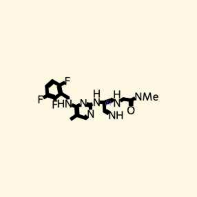 CNC(=O)CN/C=C(\C=N)Nc1ncc(C)c(NCc2c(F)ccc(F)c2F)n1